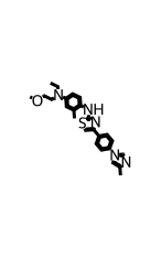 CCN(CCOC)c1ccc(Nc2nc(-c3ccc(-n4cnc(C)c4)cc3)cs2)c(C)c1